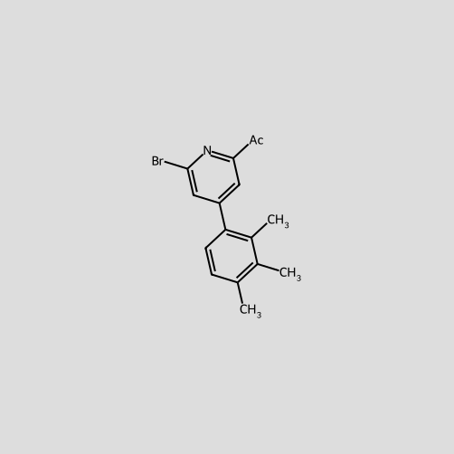 CC(=O)c1cc(-c2ccc(C)c(C)c2C)cc(Br)n1